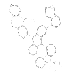 CN1c2ccccc2CCc2ccc(-c3c4ccccc4c(-c4cccc5c4-c4ccccc4C5(C)C)c4cc(-c5cccc6ccccc56)ccc34)cc21